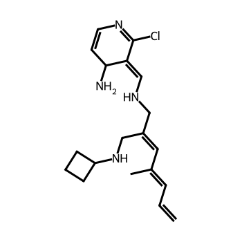 C=C/C=C(C)/C=C(/CN/C=C1/C(Cl)=NC=CC1N)CNC1CCC1